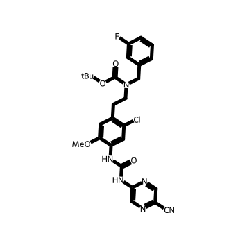 COc1cc(CCN(Cc2cccc(F)c2)C(=O)OC(C)(C)C)c(Cl)cc1NC(=O)Nc1cnc(C#N)cn1